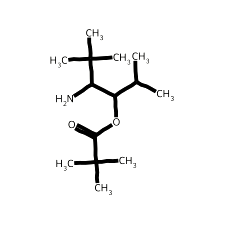 CC(C)C(OC(=O)C(C)(C)C)C(N)C(C)(C)C